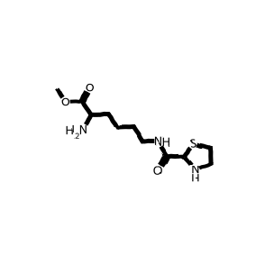 COC(=O)C(N)CCCCNC(=O)C1NCCS1